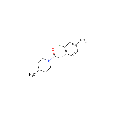 CC1CCN(C(=O)Cc2ccc([N+](=O)[O-])cc2Cl)CC1